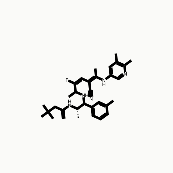 C=C(CC(C)(C)C)N[C@@H](C)C(NC(C)/C(F)=C\C(C#N)=C(/C)Nc1cnc(C)c(C)c1)c1cccc(C)c1